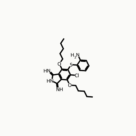 CCCCCOc1c(Cl)c(Sc2ccccc2N)c(OCCCCC)c2c1C(=N)NC2=N